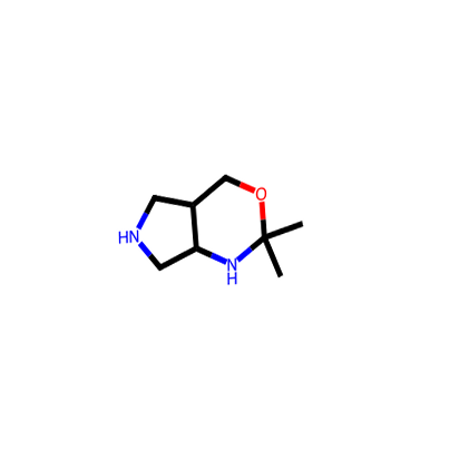 CC1(C)NC2CNCC2CO1